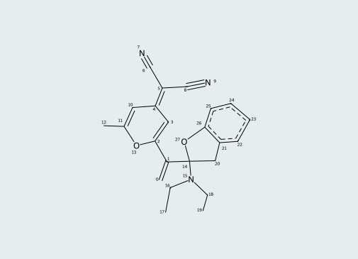 C=C(C1=CC(=C(C#N)C#N)C=C(C)O1)C1(N(CC)CC)Cc2ccccc2O1